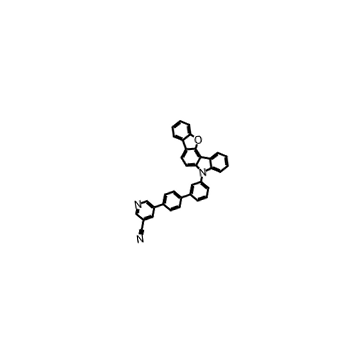 N#Cc1cncc(-c2ccc(-c3cccc(-n4c5ccccc5c5c6oc7ccccc7c6ccc54)c3)cc2)c1